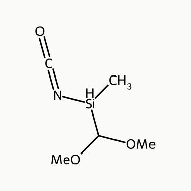 COC(OC)[SiH](C)N=C=O